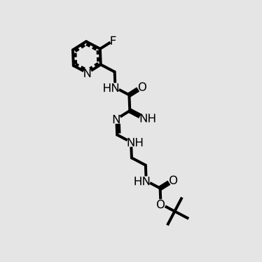 CC(C)(C)OC(=O)NCCN/C=N\C(=N)C(=O)NCc1ncccc1F